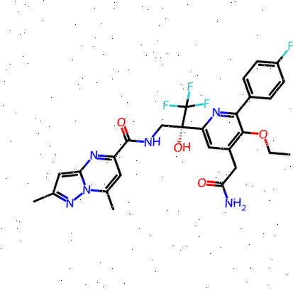 CCOc1c(CC(N)=O)cc([C@@](O)(CNC(=O)c2cc(C)n3nc(C)cc3n2)C(F)(F)F)nc1-c1ccc(F)cc1